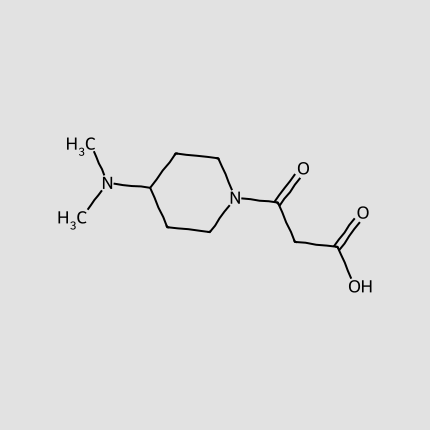 CN(C)C1CCN(C(=O)CC(=O)O)CC1